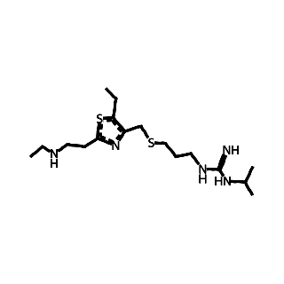 CCNCCc1nc(CSCCCNC(=N)NC(C)C)c(CC)s1